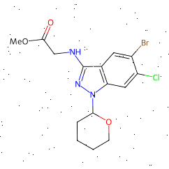 COC(=O)CNc1nn(C2CCCCO2)c2cc(Cl)c(Br)cc12